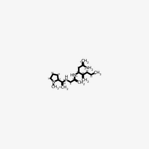 C=C(N)CC(NC(=C)CNC(=C)C1CCCN1C)C(=C)CCC